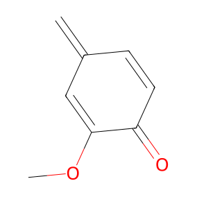 C=C1C=CC(=O)C(OC)=C1